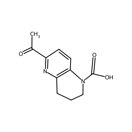 CC(=O)c1ccc2c(n1)CCCN2C(=O)O